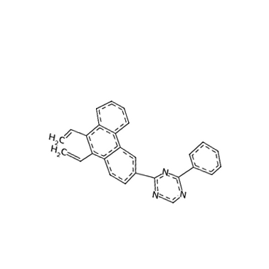 C=Cc1c(C=C)c2ccc(-c3ncnc(-c4ccccc4)n3)cc2c2ccccc12